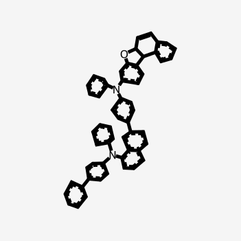 C1=CC2Oc3cc(N(c4ccccc4)c4ccc(-c5ccc6cccc(N(c7ccccc7)c7ccc(-c8ccccc8)cc7)c6c5)cc4)ccc3C2c2ccccc21